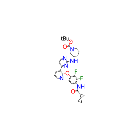 CC(C)(C)OC(=O)N1CCC[C@H](Nc2nccc(-c3cccnc3Oc3ccc(NC(=O)[C@H]4CC45CC5)c(F)c3F)n2)C1